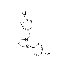 Fc1ccc([C@H]2CCCN2Cc2ccc(Cl)nc2)cc1